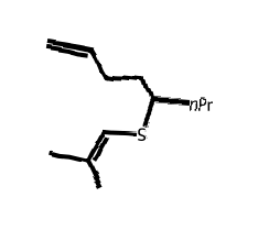 C=CCCC(CCC)SC=C(C)C